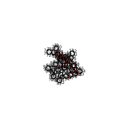 c1ccc(-c2ccc(-c3cc4ccccc4c4ccccc34)cc2N(c2ccccc2-c2cccc3c2oc2ccccc23)c2ccccc2-n2c3ccccc3c3ccc(-c4ccc(-c5ccc(-c6cc7ccccc7c7ccccc67)cc5N(c5ccc(-c6ccccc6-n6c7ccccc7c7ccccc76)cc5)c5ccccc5-c5cccc6c5oc5ccccc56)cc4)cc32)cc1